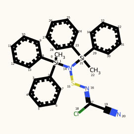 C[Si](c1ccccc1)(c1ccccc1)N(SN=C(Cl)C#N)[Si](C)(c1ccccc1)c1ccccc1